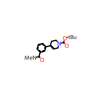 CNC(=O)c1cccc(C2=CCN(C(=O)OC(C)(C)C)CC2)c1